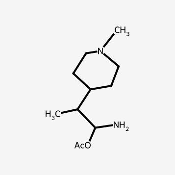 CC(=O)OC(N)C(C)C1CCN(C)CC1